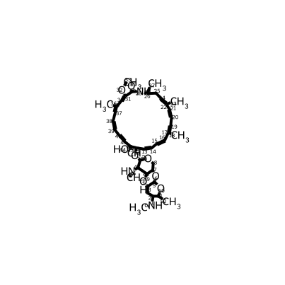 CNC1CCC(OC2COC(OC3C=CC=CC(C)=CC=CC(C)=CCC(C)NC(=O)C(OC)=CC(C)=CC=CC=CC3(C)O)C(NC)C2O)OC1C